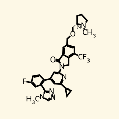 CN1CCC[C@H]1COCc1cc2c(c(C(F)(F)F)c1)CN(c1cc(-c3ccc(F)cc3-c3nncn3C)cc(C3CC3)n1)C2=O